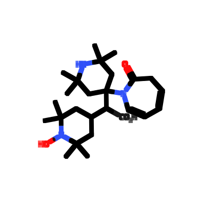 CC1(C)CC(C(C(=O)O)C2CC(C)(C)N(O)C(C)(C)C2)(N2C=CC=CCC2=O)CC(C)(C)N1